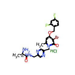 Cc1cc(OCc2ccc(F)cc2F)c(Br)c(=O)n1Cc1cnc(CNC(=O)[C@@H](C)N)cn1.Cl